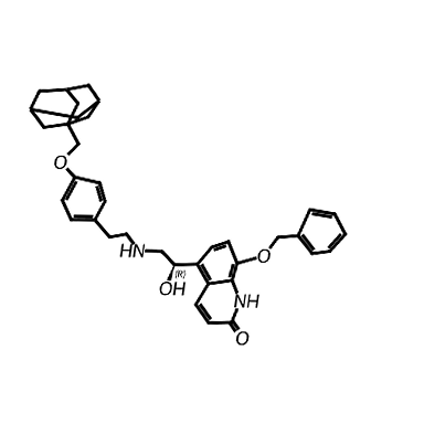 O=c1ccc2c([C@@H](O)CNCCc3ccc(OCC45CC6CC(CC(C6)C4)C5)cc3)ccc(OCc3ccccc3)c2[nH]1